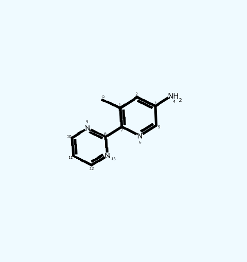 Cc1cc(N)cnc1-c1ncccn1